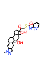 Cn1ncc2c1C=C1CCC3C([C@@H](O)CC4(C)C3CC[C@]4(O)C(=O)CSc3nc4ncccc4o3)C1(C)C2